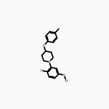 CCOc1ccc(F)c(N2CCC(Oc3ccc(I)cc3)CC2)c1